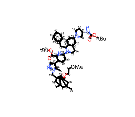 COCCOC12CC3(C)CC(C)(CC(Cn4ncc(-c5ccc(N6CCc7cc(N8CC[C@H](NC(=O)OC(C)(C)C)C8)cc(C(=O)O)c7C6Cc6ccccc6)nc5C(=O)OC(C)(C)C)c4C)(C3)C1)C2